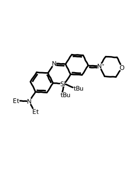 CCN(CC)c1ccc2c(c1)[Si](C(C)(C)C)(C(C)(C)C)C1=CC(=[N+]3CCOCC3)C=CC1=N2